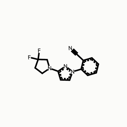 N#Cc1ccccc1-n1ccc(N2CCC(F)(F)C2)n1